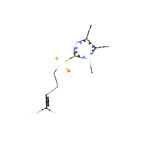 Cc1nc(S(=O)(=O)CCC=C(F)F)n(C)c1C